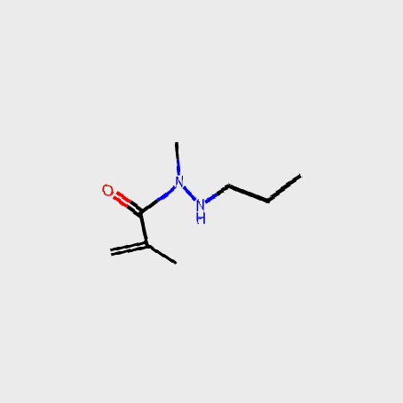 C=C(C)C(=O)N(C)NCCC